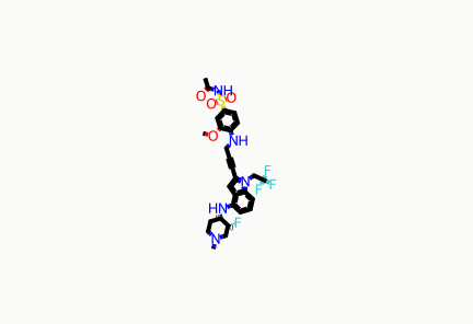 COc1cc(S(=O)(=O)NC(C)=O)ccc1NCC#Cc1cc2c(N[C@H]3CCN(C)C[C@H]3F)cccc2n1CC(F)(F)F